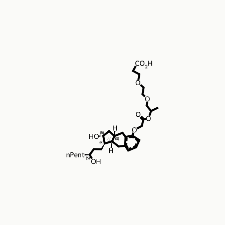 CCCCC[C@H](O)CC[C@@H]1[C@H]2Cc3cccc(OCC(=O)OC(C)COCCOCCC(=O)O)c3C[C@H]2C[C@H]1O